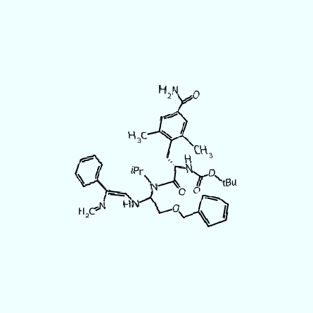 C=N/C(=C\NC(COCc1ccccc1)N(C(=O)[C@H](Cc1c(C)cc(C(N)=O)cc1C)NC(=O)OC(C)(C)C)C(C)C)c1ccccc1